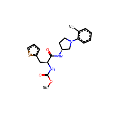 CC(C)(C)OC(=O)N[C@@H](Cc1cccs1)C(=O)N[C@H]1CCN(c2ccccc2C#N)C1